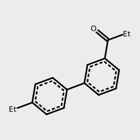 CCC(=O)c1cccc(-c2ccc(CC)cc2)c1